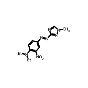 CCN(CC)c1ccc(N=Nc2ncn(C)n2)cc1[N+](=O)[O-]